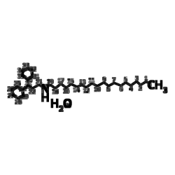 CCCCCCCCCCCCCCCCCCCCNCCC(c1ccccc1)c1ccccc1.O